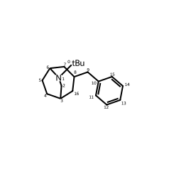 CC(C)(C)N1CC2CCC1CC(Cc1ccccc1)C2